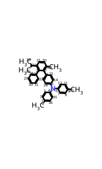 Cc1ccc(N(c2ccc(C)cc2)c2ccc(-c3c(C)ccc(C(C)C)c3-c3ccccc3)cc2)cc1